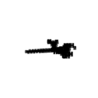 CCCCCCCCCCCCCCCCCCOCC(COc1cc(F)cc(C#N)c1)COP(=O)(O)OC[C@@]1(C)O[C@@H](c2ccc3c(N)ncnn23)[C@H](O)[C@@H]1O